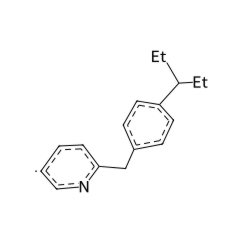 CCC(CC)c1ccc(Cc2cc[c]cn2)cc1